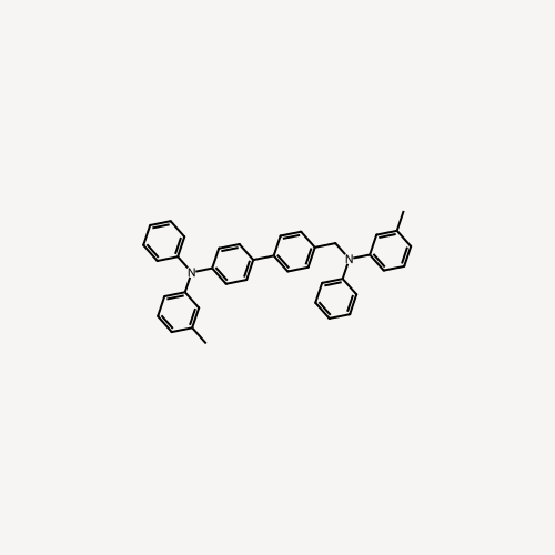 Cc1cccc(N(Cc2ccc(-c3ccc(N(c4ccccc4)c4cccc(C)c4)cc3)cc2)c2ccccc2)c1